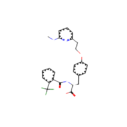 CNc1cccc(CCOc2ccc(C[C@H](NC(=O)c3ccccc3C(F)(F)F)C(=O)O)cc2)n1